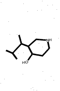 CC(C)C(C)C1CNCCC1O